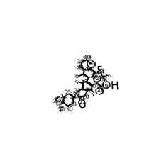 Cc1c(-c2c(C)c3c(c(C)c2[C@@H](OC(C)(C)C)C(=O)O)CC(=O)N(C2CCC(F)(F)CC2)C3)cc(F)c2c1CCCO2